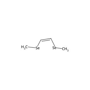 C[Se]/C=C\[Se]C